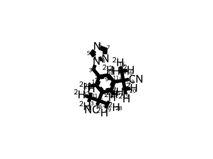 [2H]c1c(Cn2cncn2)c([2H])c(C(C#N)(C([2H])([2H])[2H])C([2H])([2H])[2H])c([2H])c1C(C#N)(C([2H])([2H])[2H])C([2H])([2H])[2H]